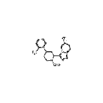 O=CN1CCC(c2ccccc2C(F)(F)F)CC1c1nnc2ccc(C(F)(F)F)cn12